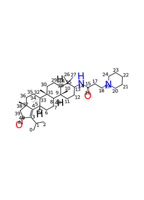 CC(C)C1=C2[C@H]3CC[C@@H]4[C@@]5(C)CCC(NC(=O)CCN6CCCCC6)C(C)(C)[C@@H]5CC[C@@]4(C)[C@]3(C)CC[C@@]2(C)CC1=O